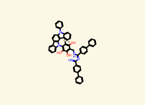 Cc1c(O)c(CN/C(=N\C(=N)c2ccc(-c3ccccc3)cc2)c2ccc(-c3ccccc3)cc2)c(O)c(O)c1-n1c2ccccc2c2ccc3c(c4ccccc4n3-c3ccccc3)c21